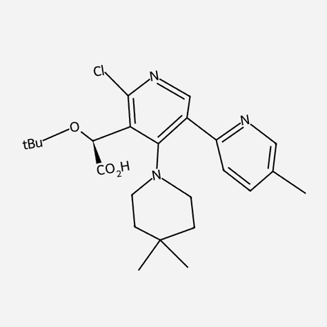 Cc1ccc(-c2cnc(Cl)c([C@H](OC(C)(C)C)C(=O)O)c2N2CCC(C)(C)CC2)nc1